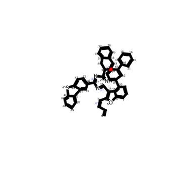 C=C/C=C\c1oc2cccc(-c3cccc(-c4ccccc4)c3)c2c1/C=N/C(=N\C(=N)C1C=Cc2ccccc2C1)c1ccc2sc3ccccc3c2c1